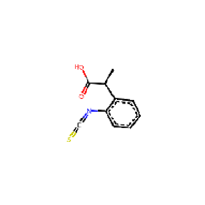 CC(C(=O)O)c1ccccc1N=C=S